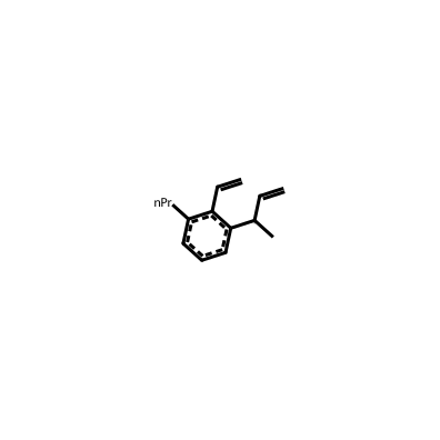 C=C[C](C)c1cccc(CCC)c1C=C